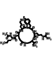 CCCC[C@H](NC(C)=O)C(=O)NC1CCC(=O)NCCC(C(N)=O)NC(=O)[C@H](CCCNC(=N)N)NC(=O)C(Cc2ccc(F)cc2)NC(=O)[C@H](CCCN)NC1=O